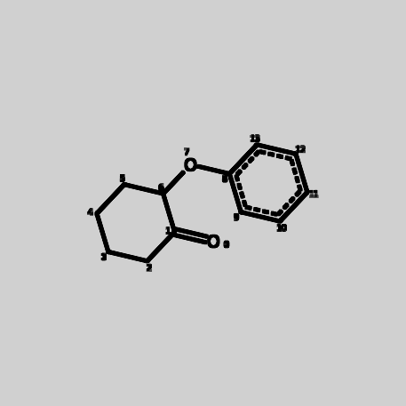 O=C1CCCCC1Oc1ccccc1